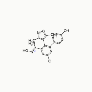 Cc1noc(C)c1-c1c(/C(N)=N/O)cc(Cl)cc1-c1ccc(O)cc1